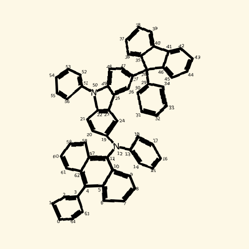 c1ccc(-c2c3ccccc3c(N(c3ccccc3)c3ccc4c(c3)c3cc(C5(c6ccccc6)c6ccccc6-c6ccccc65)ccc3n4-c3ccccc3)c3ccccc23)cc1